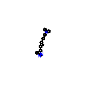 CC1(C)c2cc(-c3ccc(-c4ccc(-n5c6ccccc6c6ccccc65)cc4)cc3)ccc2-c2ccc(-c3ccc4c(c3)c3ccccc3c3nccnc43)cc21